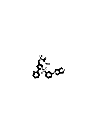 CN(Cc1cc(-c2ccccc2F)n(S(=O)(=O)c2cccc(N3CC4COCC4C3)c2)c1)C(=O)OC(C)(C)C